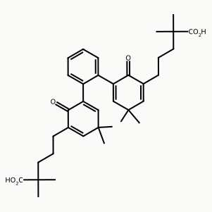 CC1(C)C=C(CCCC(C)(C)C(=O)O)C(=O)C(c2ccccc2C2=CC(C)(C)C=C(CCCC(C)(C)C(=O)O)C2=O)=C1